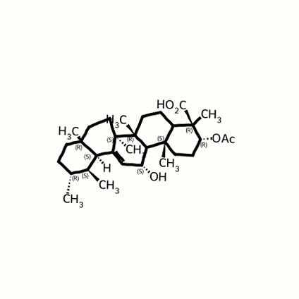 CC(=O)O[C@@H]1CC[C@@]2(C)C(CC[C@]3(C)C2[C@H](O)C=C2[C@H]4[C@@H](C)[C@H](C)CC[C@]4(C)CC[C@]23C)[C@@]1(C)C(=O)O